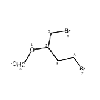 O=[C]OC(CBr)CCBr